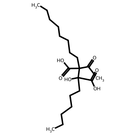 CCCCCCCCC(C(C)=O)(C(=O)O)C(O)(CCCCCC)C(=O)O